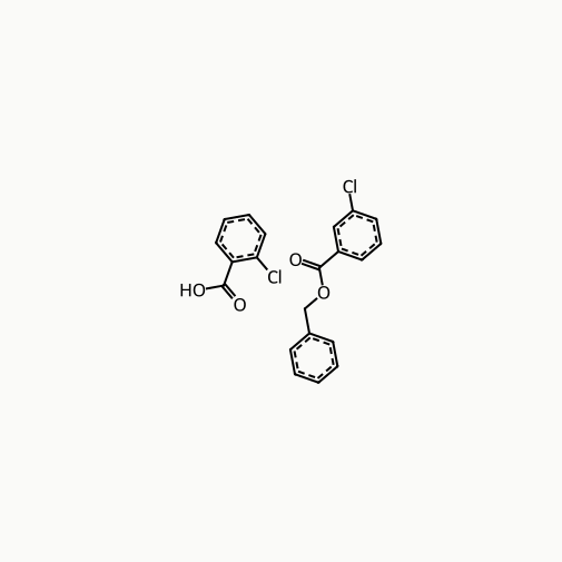 O=C(O)c1ccccc1Cl.O=C(OCc1ccccc1)c1cccc(Cl)c1